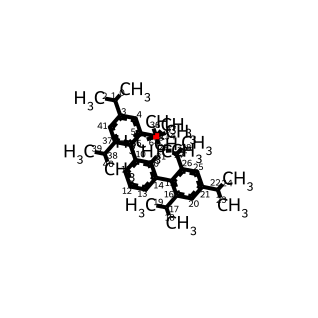 CC(C)c1cc(C(C)C)c(-c2cccc(-c3c(C(C)C)cc(C(C)C)cc3C(C)C)c2P(C)C(C)(C)C)c(C(C)C)c1